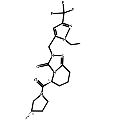 CCn1nc(C(F)(F)F)cc1Cn1nc2n(c1=O)[C@H](C(=O)N1CC[C@H](F)C1)CCC2